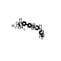 CC1(C)Oc2cc(-c3ccc(S(=O)(=O)N4CCC(Nc5ccc(C(F)(F)F)cn5)CC4)cc3)ccc2NC1=O